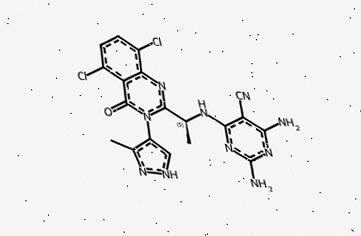 Cc1n[nH]cc1-n1c([C@H](C)Nc2nc(N)nc(N)c2C#N)nc2c(Cl)ccc(Cl)c2c1=O